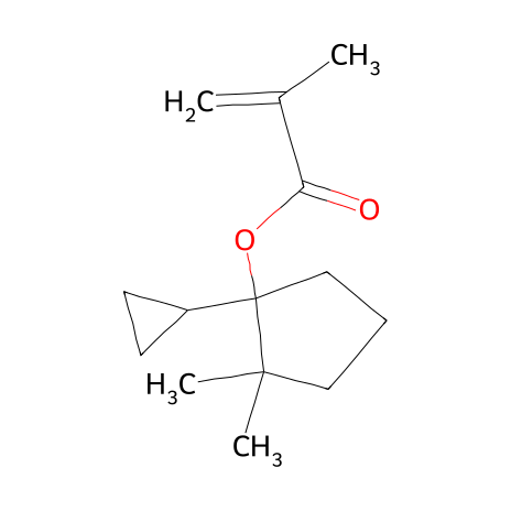 C=C(C)C(=O)OC1(C2CC2)CCCC1(C)C